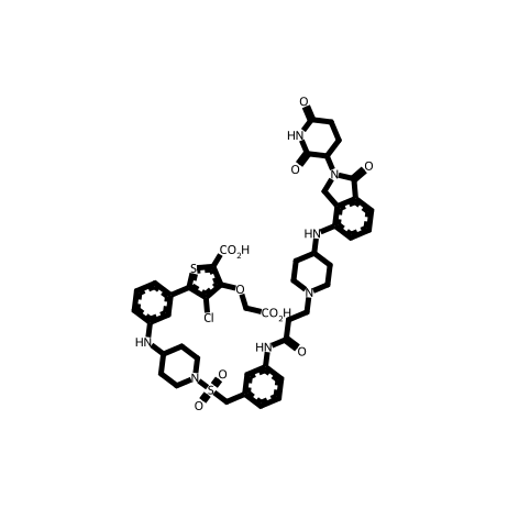 O=C(O)COc1c(C(=O)O)sc(-c2cccc(NC3CCN(S(=O)(=O)Cc4cccc(NC(=O)CCN5CCC(Nc6cccc7c6CN(C6CCC(=O)NC6=O)C7=O)CC5)c4)CC3)c2)c1Cl